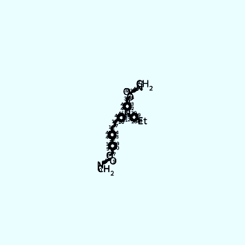 C=NC#CC(=O)OCc1ccc(-c2ccc(CCCc3ccc(N(c4ccc(CC)cc4)c4ccc(COC(=O)C#CN=C)cc4)cc3)cc2)cc1